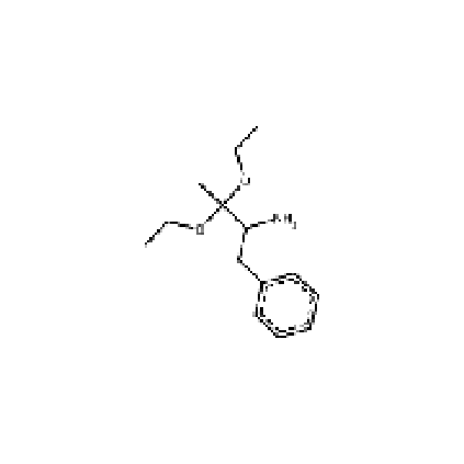 CCOC(C)(OCC)C(N)Cc1ccccc1